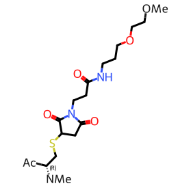 CN[C@@H](CSC1CC(=O)N(CCC(=O)NCCCOCCOC)C1=O)C(C)=O